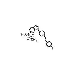 CN(c1ccc2ccn(C3CCN(CCc4ccc(F)cc4)CC3)c2c1)S(C)(=O)=O